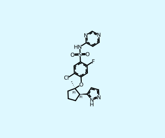 C[C@@]1(Oc2cc(F)c(S(=O)(=O)Nc3ccncn3)cc2Cl)CCC[C@@H]1c1ccn[nH]1